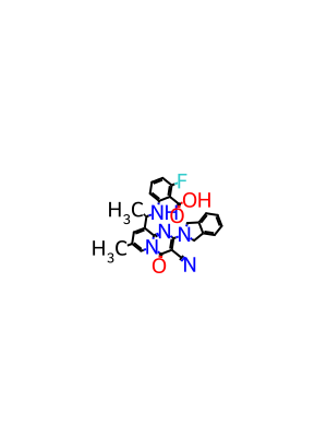 Cc1cc([C@@H](C)Nc2cccc(F)c2C(=O)O)c2nc(N3Cc4ccccc4C3)c(C#N)c(=O)n2c1